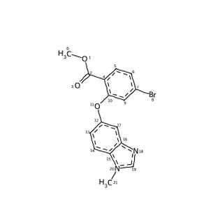 COC(=O)c1ccc(Br)cc1Oc1ccc2c(c1)ncn2C